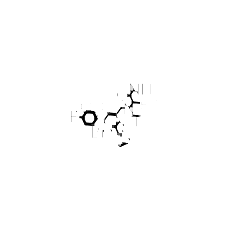 CCOC(=O)C1=C(CN2CCSCC2C(N)=O)NC(c2nccs2)=N[C@H]1c1ccc(F)cc1Br